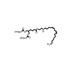 CCCCCCCC(=O)OCC(CCCC(=O)OCCNCCCC/C=C\C/C=C\CCCCCCN)COC(=O)CCCCC